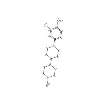 CSc1ccc(N2CCC(C3CCN(C(C)=O)CC3)CC2)cc1Cl